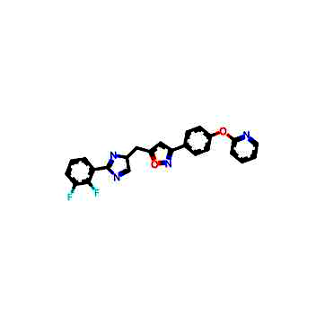 Fc1cccc(C2=NC(Cc3cc(-c4ccc(Oc5ccccn5)cc4)no3)C=N2)c1F